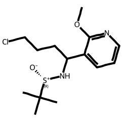 COc1ncccc1C(CCCCl)N[S@@+]([O-])C(C)(C)C